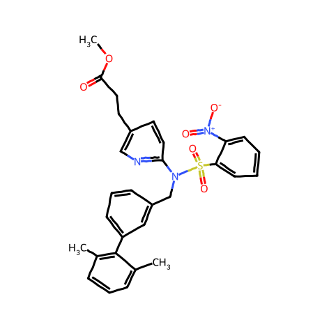 COC(=O)CCc1ccc(N(Cc2cccc(-c3c(C)cccc3C)c2)S(=O)(=O)c2ccccc2[N+](=O)[O-])nc1